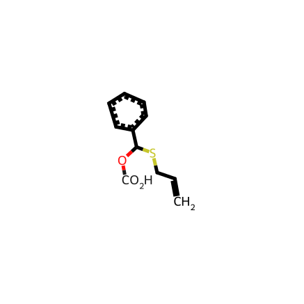 C=CCSC(OC(=O)O)c1ccccc1